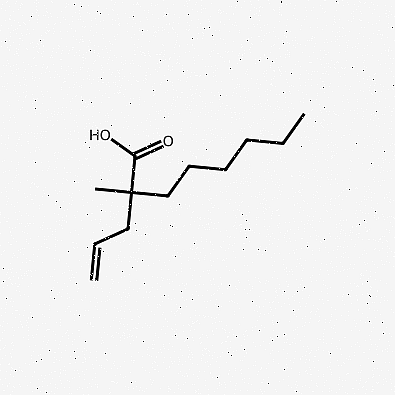 C=CCC(C)(CCCCCC)C(=O)O